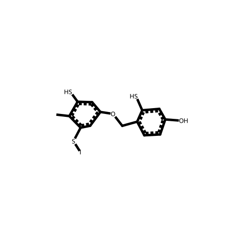 Cc1c(S)cc(OCc2ccc(O)cc2S)cc1SI